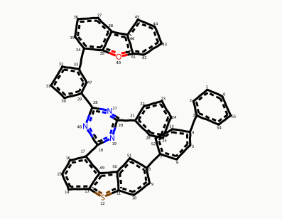 c1ccc(-c2ccc(-c3ccc4sc5cccc(-c6nc(-c7ccccc7)nc(-c7cccc(-c8cccc9c8oc8ccccc89)c7)n6)c5c4c3)cc2)cc1